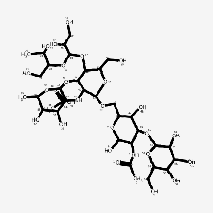 CC(=O)NC1C(O)OC(COC2OC(CO)C(OC(OC(CO)C(C)O)C(O)CO)C(OC3OC(C)C(O)C(O)C3O)C2NC(C)=O)C(O)C1OC1OC(CO)C(O)C(O)C1O